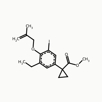 C=C(C)COc1c(I)cc(C2(C(=O)OC)CC2)cc1CC